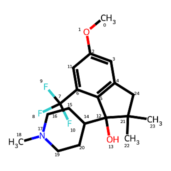 COc1cc2c(c(C(F)(F)F)c1)C(O)(C1CCN(C)CC1)C(C)(C)C2